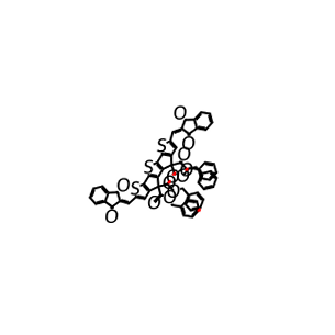 O=C1C(=Cc2cc3c(s2)-c2sc4c(c2C3(C(=O)OCc2ccccc2)C(=O)OCc2ccccc2)C(C(=O)OCc2ccccc2)(C(=O)OCc2ccccc2)c2cc(C=C3C(=O)c5ccccc5C3=O)sc2-4)C(=O)c2ccccc21